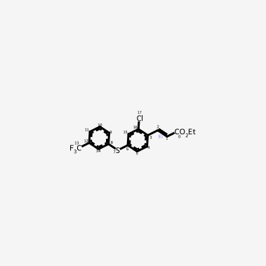 CCOC(=O)/C=C/c1ccc(Sc2cccc(C(F)(F)F)c2)cc1Cl